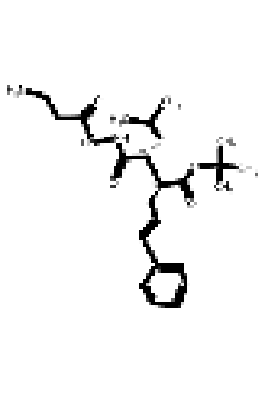 CC(C)C[C@@H](C(=O)NNC(=O)CCN)[C@H](CC=Cc1ccccc1)C(=O)OC(C)(C)C